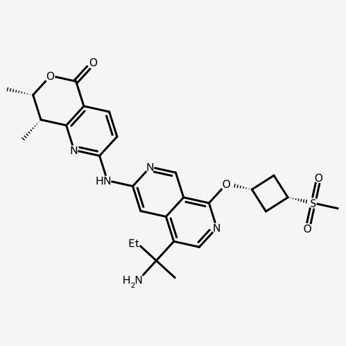 CCC(C)(N)c1cnc(O[C@H]2C[C@@H](S(C)(=O)=O)C2)c2cnc(Nc3ccc4c(n3)[C@H](C)[C@H](C)OC4=O)cc12